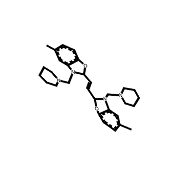 Cc1ccc2c(c1)N(CN1CCCCC1)C(C=CC1Oc3ccc(C)cc3N1CN1CCCCC1)O2